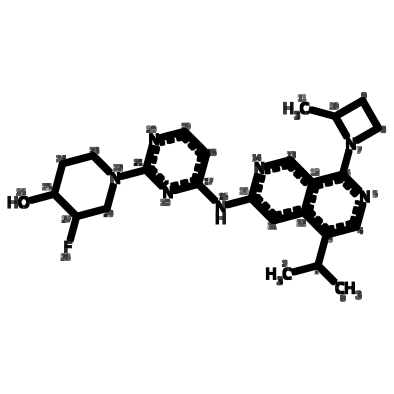 CC(C)c1cnc(N2CCC2C)c2cnc(Nc3ccnc(N4CCC(O)C(F)C4)n3)cc12